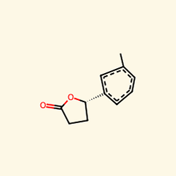 Cc1cccc([C@@H]2CCC(=O)O2)c1